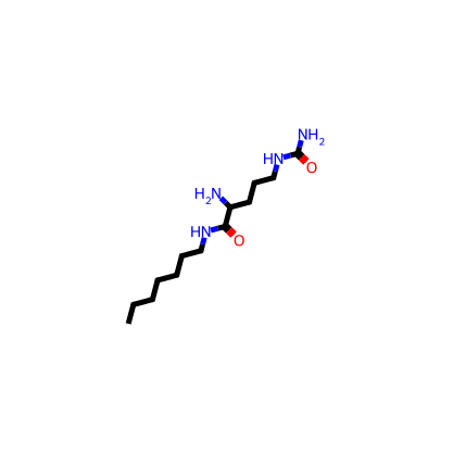 CCCCCCCNC(=O)C(N)CCCNC(N)=O